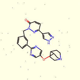 O=c1ccc(-c2cn[nH]c2)nn1Cc1cccc(-c2ncc(OC3CN4CCC3CC4)cn2)c1